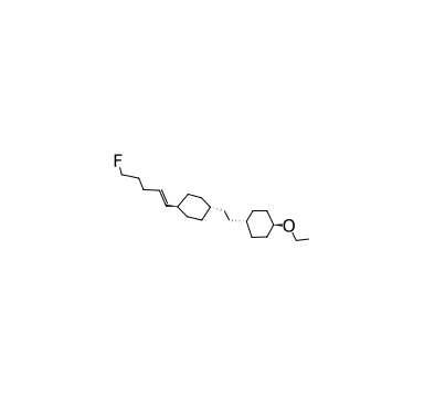 CCO[C@H]1CC[C@H](CC[C@H]2CC[C@H](C=CCCCF)CC2)CC1